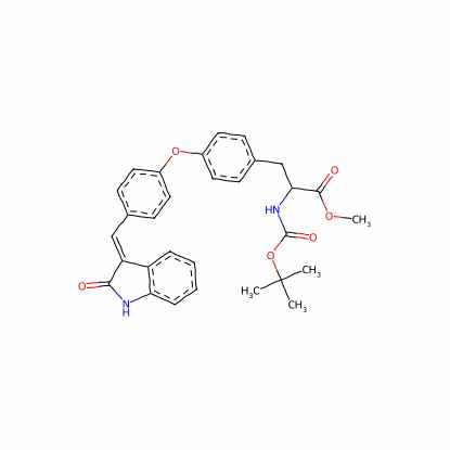 COC(=O)C(Cc1ccc(Oc2ccc(/C=C3/C(=O)Nc4ccccc43)cc2)cc1)NC(=O)OC(C)(C)C